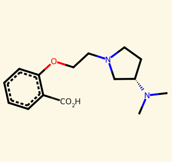 CN(C)[C@H]1CCN(CCOc2ccccc2C(=O)O)C1